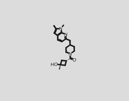 Cc1cc2ccc(CC3CCN(C(=O)[C@H]4C[C@@](C)(O)C4)CC3)nc2n1C